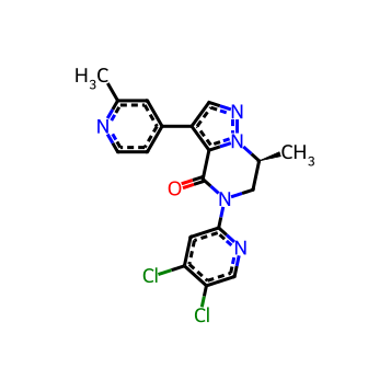 Cc1cc(-c2cnn3c2C(=O)N(c2cc(Cl)c(Cl)cn2)C[C@@H]3C)ccn1